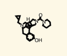 O=C(N1CCCCC1)N1C[C@H]2CC34CCC1C2C31CCN(CC2CC2)C4Cc2ccc(O)cc21